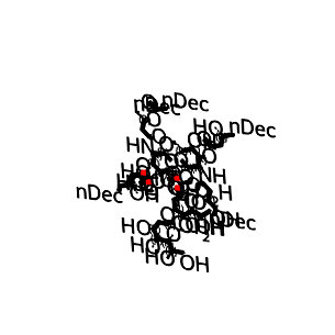 CCCCCCCCCCCC(=O)O[C@H](CCCCCCCCCCC)CC(=O)N[C@H]1[C@H](OC[C@H]2O[C@H](OP(=O)(O)O)[C@H](NC(=O)C[C@H](O)CCCCCCCCCCC)[C@@H](OC(=O)C[C@H](O)CCCCCCCCCCC)[C@@H]2O)O[C@H](CO[C@]2(C(=O)O)C[C@@H](O[C@]3(C(=O)O)C[C@@H](O)[C@@H](O)[C@@H]([C@H](O)CO)O3)[C@@H](O)[C@@H]([C@H](O)CO)O2)[C@@H](OP(=O)(O)O)[C@@H]1OC(=O)C[C@H](O)CCCCCCCCCCC